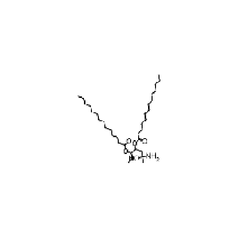 CCCCCCCCCCCCCC(=O)OC(CC)C(CC(C)(N)O)OC(=O)CCCCCCCCCCCCC